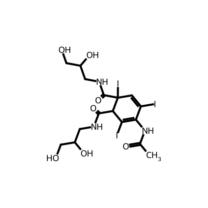 CC(=O)NC1=C(I)C(C(=O)NCC(O)CO)C(I)(C(=O)NCC(O)CO)C=C1I